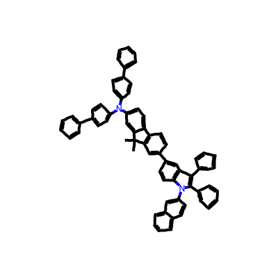 CC1(C)c2cc(-c3ccc4c(c3)c(-c3ccccc3)c(-c3ccccc3)n4-c3ccc4ccccc4c3)ccc2-c2ccc(N(c3ccc(-c4ccccc4)cc3)c3ccc(-c4ccccc4)cc3)cc21